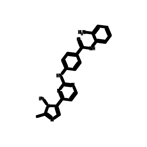 Cc1ncc(-c2ccnc(Nc3ccc(C(=O)Nc4ccccc4N)cc3)n2)n1C(C)C